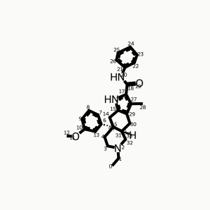 CCN1CC[C@@]2(c3cccc(OC)c3)Cc3[nH]c(C(=O)Nc4ccccc4)c(C)c3C[C@@H]2C1